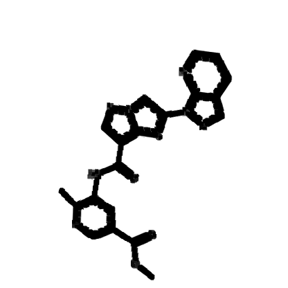 COC(=O)c1cnc(C)c(NC(=O)c2cnn3cc(-n4ncc5cccnc54)sc23)c1